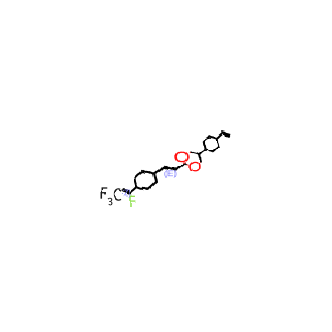 C=CC1CCC(C2COC(/C=C/C3CCC(/C(F)=C/C(F)(F)F)CC3)OC2)CC1